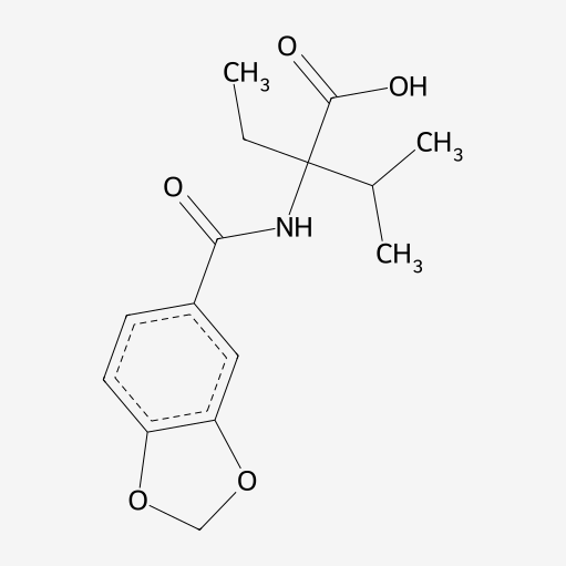 CCC(NC(=O)c1ccc2c(c1)OCO2)(C(=O)O)C(C)C